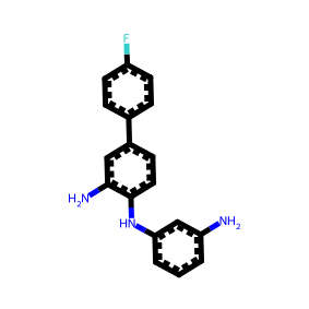 Nc1cccc(Nc2ccc(-c3ccc(F)cc3)cc2N)c1